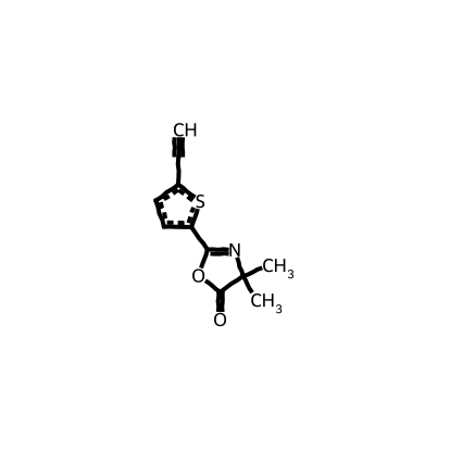 C#Cc1ccc(C2=NC(C)(C)C(=O)O2)s1